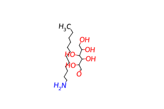 CCCCCCCCCCCCN.O=CC(O)C(O)C(O)C(O)CO